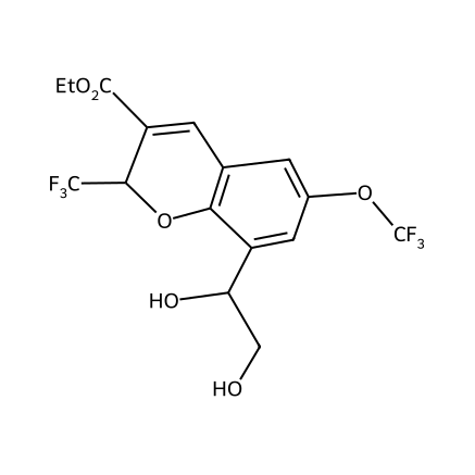 CCOC(=O)C1=Cc2cc(OC(F)(F)F)cc(C(O)CO)c2OC1C(F)(F)F